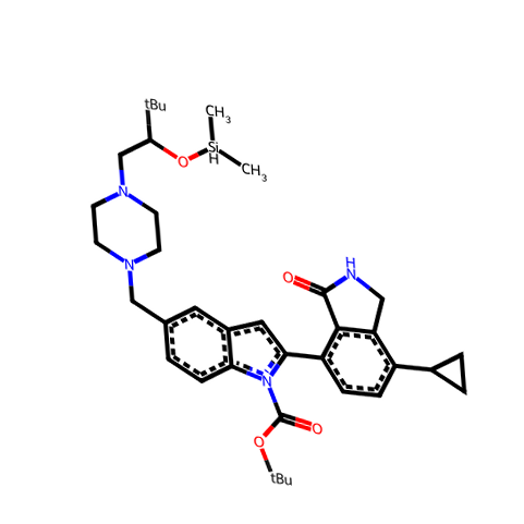 C[SiH](C)OC(CN1CCN(Cc2ccc3c(c2)cc(-c2ccc(C4CC4)c4c2C(=O)NC4)n3C(=O)OC(C)(C)C)CC1)C(C)(C)C